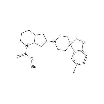 CCCCOC(=O)N1CCCC2CC(N3CCC4(CC3)COc3ccc(F)cc34)CC21